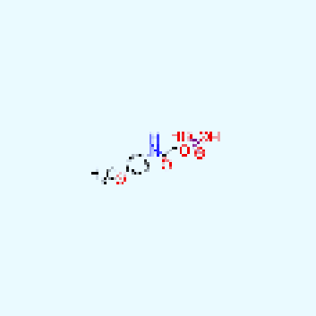 COc1ccc(NC(=O)COP(=O)(O)O)cc1